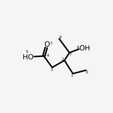 CCC(CC(=O)O)C(C)O